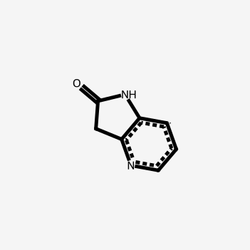 O=C1Cc2ncc[c]c2N1